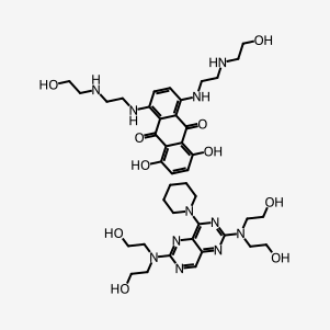 O=C1c2c(O)ccc(O)c2C(=O)c2c(NCCNCCO)ccc(NCCNCCO)c21.OCCN(CCO)c1nc(N2CCCCC2)c2nc(N(CCO)CCO)ncc2n1